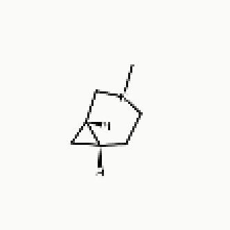 CN1CC[C@@H]2C[C@@H]2C1